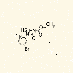 CCOC(=O)NC(=O)N(S)c1cc(Br)ccn1